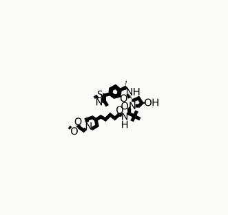 COC(=O)CN1CCC(CCCCC(=O)N[C@H](C(=O)N2C[C@H](O)C[C@H]2C(=O)N[C@@H](C)c2ccc(-c3scnc3C)cc2)C(C)(C)C)CC1